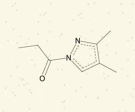 CCC(=O)n1cc(C)c(C)n1